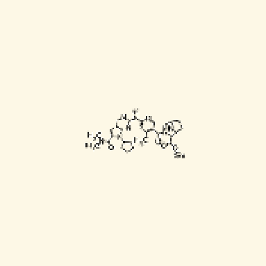 Cc1cc(Nc2ncc3cc(C(=O)N(C)C)n(C4CCCC4)c3n2)ncc1C(=O)N1CC2CCC(N2)C1C(=O)OC(C)(C)C